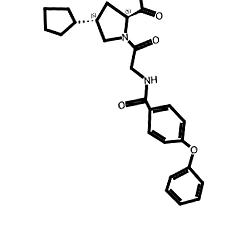 COC(=O)[C@@H]1C[C@@H](C2CCCC2)CN1C(=O)CNC(=O)c1ccc(Oc2ccccc2)cc1